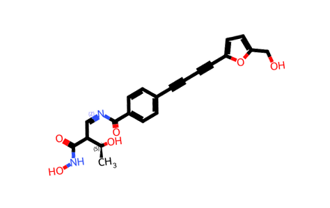 C[C@H](O)C(/C=N\C(=O)c1ccc(C#CC#Cc2ccc(CO)o2)cc1)C(=O)NO